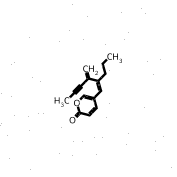 C=C(C#CC)/C(=C\c1ccc(=O)oc1)CCC